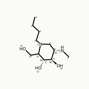 CCCCN1C[C@H](NC)[C@@H](O)[C@H](O)C1CO